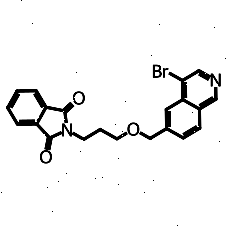 O=C1c2ccccc2C(=O)N1CCCOCc1ccc2cncc(Br)c2c1